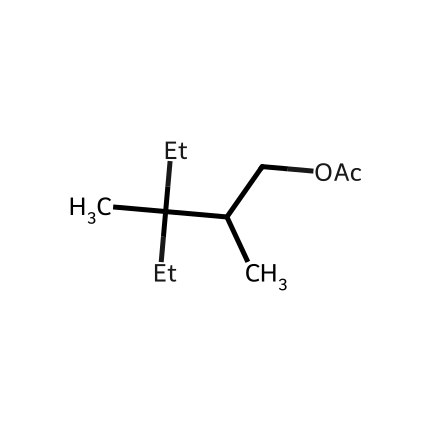 CCC(C)(CC)C(C)COC(C)=O